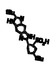 CC(C)(C)c1ccc(-c2nc3cc4[nH]c(C(C)(C)C)nc4cc3[nH]2)c(S(=O)(=O)O)c1